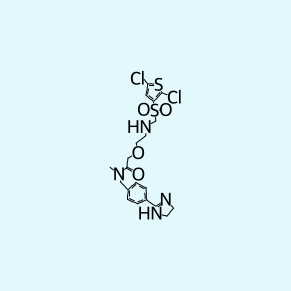 CN(Cc1ccc(C2=NCCN2)cc1)C(=O)COCCNCS(=O)(=O)c1cc(Cl)sc1Cl